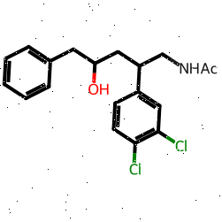 CC(=O)NCC(CC(O)Cc1ccccc1)c1ccc(Cl)c(Cl)c1